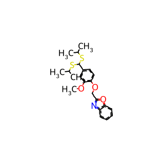 COc1cc(C(SC(C)C)SC(C)C)ccc1OCc1nc2ccccc2o1